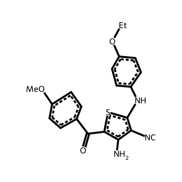 [C-]#[N+]c1c(Nc2ccc(OCC)cc2)sc(C(=O)c2ccc(OC)cc2)c1N